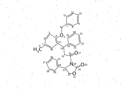 Cc1ccc(OCc2ccccc2)c(C(CC(=O)N2C(=O)OCC2c2ccccc2)c2ccccc2)c1